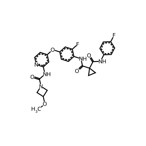 COC1CN(C(=O)Nc2cc(Oc3ccc(NC(=O)C4(C(=O)Nc5ccc(F)cc5)CC4)c(F)c3)ccn2)C1